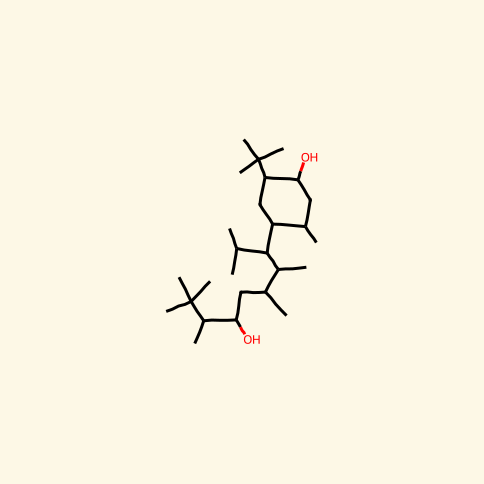 CC(C)C(C(C)C(C)CC(O)C(C)C(C)(C)C)C1CC(C(C)(C)C)C(O)CC1C